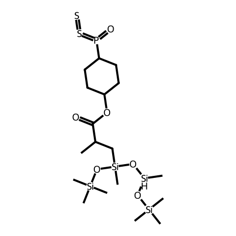 CC(C[Si](C)(O[SiH](C)O[Si](C)(C)C)O[Si](C)(C)C)C(=O)OC1CCC(P(=O)=S=S)CC1